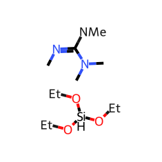 CCO[SiH](OCC)OCC.CN=C(NC)N(C)C